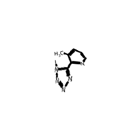 Cc1cccnc1-c1nnnn1I